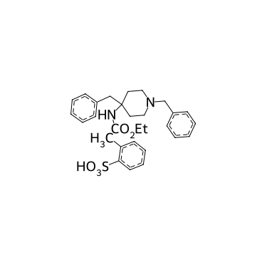 CCOC(=O)NC1(Cc2ccccc2)CCN(Cc2ccccc2)CC1.Cc1ccccc1S(=O)(=O)O